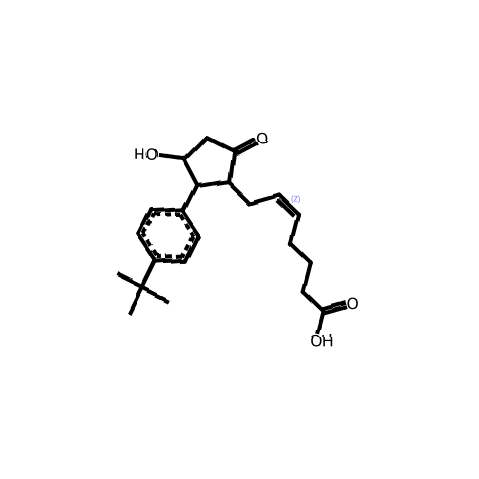 CC(C)(C)c1ccc(C2C(O)CC(=O)C2C/C=C\CCCC(=O)O)cc1